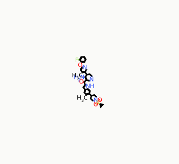 Cc1cc2cc(C(=O)C3=C(N)C(c4cnc(Oc5ccccc5F)cc4C)CCN=C3)[nH]c2cc1C1CCN(S(=O)(=O)C2CC2)CC1